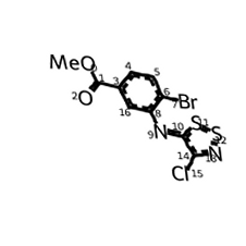 COC(=O)c1ccc(Br)c(/N=c2\ssnc2Cl)c1